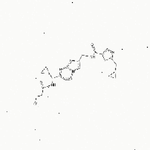 O=C(CCC(F)(F)F)NC(c1ccn2cc(CNC(=O)c3cnn(CC4CC4)n3)nc2n1)C1CC1